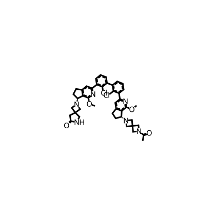 COc1nc(-c2cccc(-c3cccc(-c4cc5c(c(OC)n4)[C@@H](N4CC6(CNC(=O)C6)C4)CC5)c3Cl)c2Cl)cc2c1[C@H](N1CC3(CN(C(C)=O)C3)C1)CC2